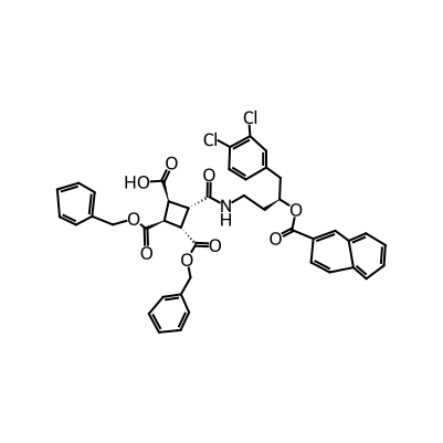 O=C(O[C@@H](CCNC(=O)[C@H]1[C@H](C(=O)O)[C@H](C(=O)OCc2ccccc2)[C@H]1C(=O)OCc1ccccc1)Cc1ccc(Cl)c(Cl)c1)c1ccc2ccccc2c1